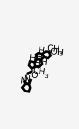 C[C@@]1(O)CC[C@H]2[C@H](CC[C@@H]3[C@@H]2CC[C@]2(C)[C@@H](C(=O)Cn4cc5c(n4)CCCC5)CC[C@@H]32)C1